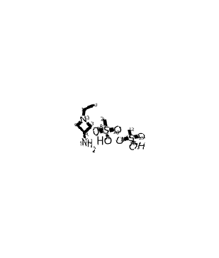 CCN1CC(N)C1.CS(=O)(=O)O.CS(=O)(=O)O